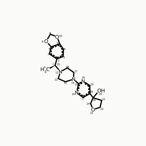 C[C@@H](c1ccc2c(c1)OCO2)N1CCN(c2ncc(C3(O)CCOC3)cn2)CC1